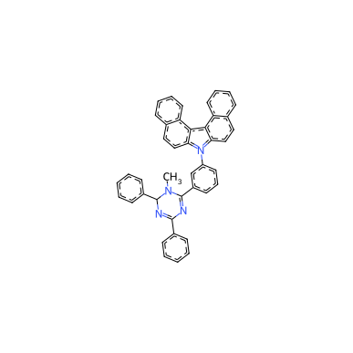 CN1C(c2cccc(-n3c4ccc5ccccc5c4c4c5ccccc5ccc43)c2)=NC(c2ccccc2)=NC1c1ccccc1